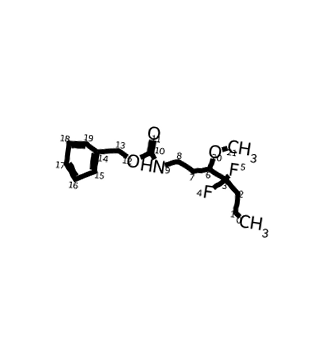 CCCC(F)(F)C(CCNC(=O)OCc1ccccc1)OC